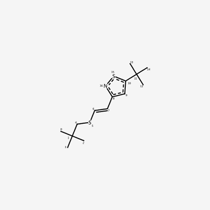 CC(C)(C)CS/C=C/c1cc(C(C)(C)C)sn1